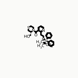 CC(C)(C)[Si](OCCc1ncccc1C(=O)N1CCSC[C@H]1CO)(c1ccccc1)c1ccccc1